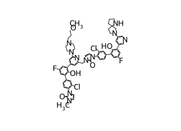 COCCCN1CCN(c2cc(-c3cc(F)cc(-c4ccc(-n5ccn(C)c5=O)c(Cl)c4)c3O)cc(Cn3ccn(-c4ccc(-c5cc(F)cc(-c6cncc(N7CCC8(CCCN8)C7)c6)c5O)cc4Cl)c3=O)n2)CC1